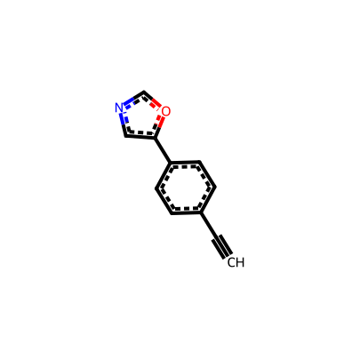 C#Cc1ccc(-c2cnco2)cc1